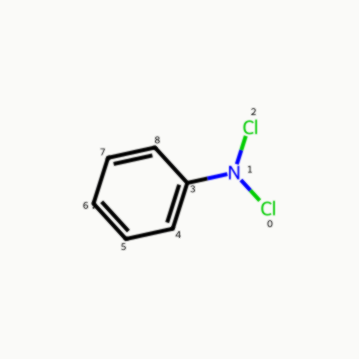 ClN(Cl)c1cc[c]cc1